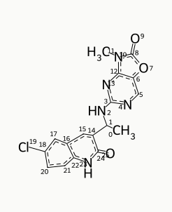 CC(Nc1ncc2oc(=O)n(C)c2n1)c1cc2cc(Cl)ccc2[nH]c1=O